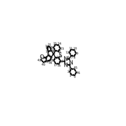 c1ccc(-c2nc(-c3ccccc3)nc(-c3cccc4c3Sc3ccccc3C43c4ccccc4-c4c3ccc3ccoc43)n2)cc1